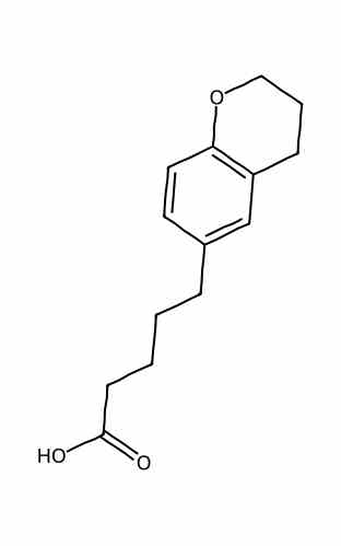 O=C(O)CCCCc1ccc2c(c1)CCCO2